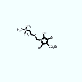 CCOC(=O)c1c(Br)c(C#N)n(COCC[Si](C)(C)C)c1Br